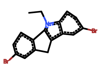 CCn1c2c(c3cc(Br)ccc31)Cc1cc(Br)ccc1-2